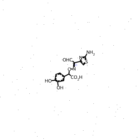 Nc1nc(/C([C]=O)=N/OC(C(=O)O)c2ccc(O)c(O)c2)cs1